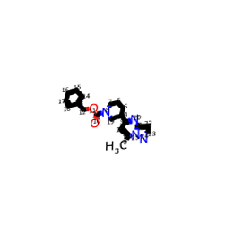 Cc1cc(C2CCCN(C(=O)OCc3ccccc3)C2)nc2ccnn12